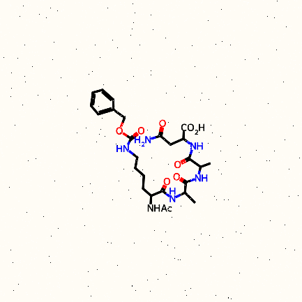 CC(=O)NC(CCCCNC(=O)OCc1ccccc1)C(=O)NC(C)C(=O)NC(C)C(=O)NC(CC(N)=O)C(=O)O